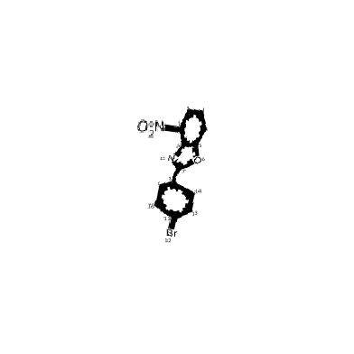 O=[N+]([O-])c1cccc2oc(-c3ccc(Br)cc3)nc12